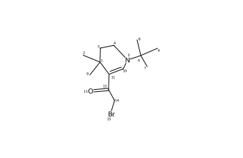 CC1(C)CCN(C(C)(C)C)C=C1C(=O)CBr